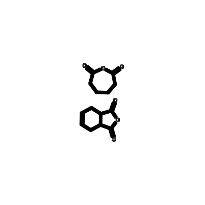 O=C1CCCCC(=O)O1.O=C1OC(=O)C2CC=CCC12